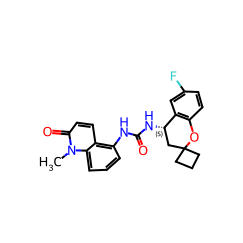 Cn1c(=O)ccc2c(NC(=O)N[C@H]3CC4(CCC4)Oc4ccc(F)cc43)cccc21